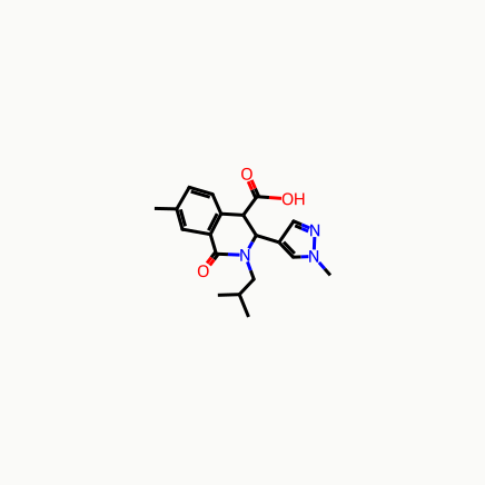 Cc1ccc2c(c1)C(=O)N(CC(C)C)C(c1cnn(C)c1)C2C(=O)O